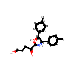 Cc1ccc(-c2nc(C(=O)CCC=O)oc2-c2ccc(C)cc2)cc1